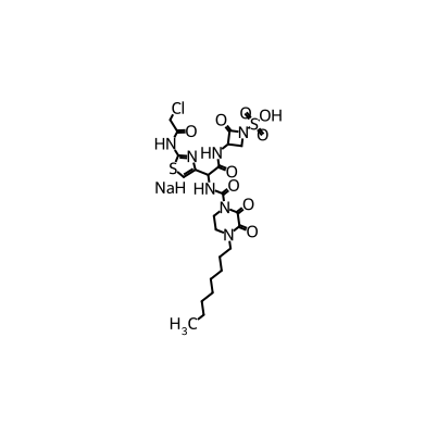 CCCCCCCCN1CCN(C(=O)NC(C(=O)NC2CN(S(=O)(=O)O)C2=O)c2csc(NC(=O)CCl)n2)C(=O)C1=O.[NaH]